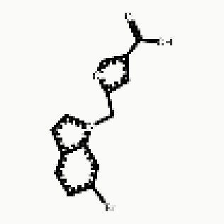 O=C(O)c1coc(Cn2ccc3ccc(Br)cc32)c1